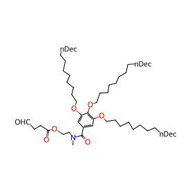 CCCCCCCCCCCCCCCCCCOc1cc(C(=O)N(C)CCOC(=O)CCC=O)cc(OCCCCCCCCCCCCCCCCCC)c1OCCCCCCCCCCCCCCCCCC